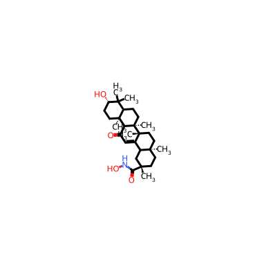 CC1(C)C2CC[C@]3(C)C(C(=O)C=C4C5C[C@@](C)(C(=O)NO)CC[C@]5(C)CC[C@]43C)[C@@]2(C)CC[C@@H]1O